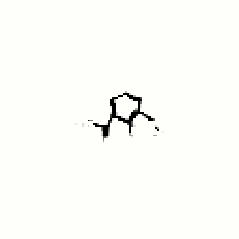 COC(=O)c1c[c]cc(SC#N)c1C